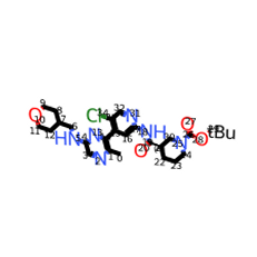 Cc1ncc(NCC2CCOCC2)nc1-c1cc(NC(=O)[C@@H]2CCCN(C(=O)OC(C)(C)C)C2)ncc1Cl